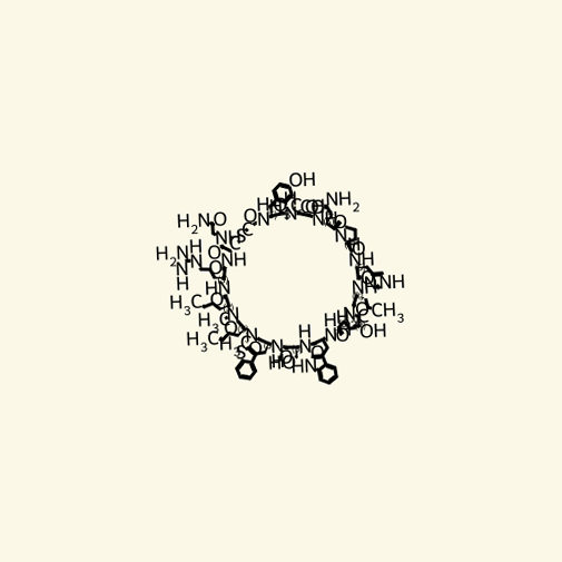 CCCC[C@H]1C(=O)N(C)[C@@H](CCCC)C(=O)N[C@@H](CCCNC(=N)N)C(=O)NC(C(=O)NCC(N)=O)CSCC(=O)N[C@@H](Cc2ccc(O)cc2)C(=O)NC(C)(C)C(=O)N[C@@H](CC(N)=O)C(=O)N2CCC[C@H]2C(=O)N[C@@H](Cc2c[nH]cn2)C(=O)N[C@H](CC(C)C)C(=O)N2C[C@H](O)C[C@H]2C(=O)NC(Cc2c[nH]c3ccccc23)C(=O)N[C@@H](CO)C(=O)N[C@@H](Cc2csc3ccccc23)C(=O)N1C